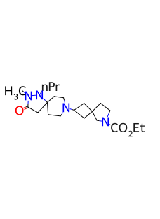 CCCN1N(C)C(=O)CC12CCN(C1CC3(CCN(C(=O)OCC)C3)C1)CC2